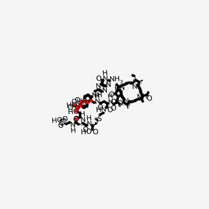 CC[C@H]1c2cc3[nH]c4c(c3C)C(=O)C(C(=O)OC)c4c3nc(cc4[nH]c(cc(n2)[C@@H]1C)c(C(C)=O)c4C)[C@@H](C)[C@@H]3CCC(=O)NC(CC(=O)NCCc1ccc(B(O)O)cc1)C(=O)NCCSSC[C@H](NC(=O)[C@H](CC(=O)NCCS(=O)(=O)O)NC(=O)CC[C@H](NC(=O)c1ccc(NCc2cnc3nc(N)[nH]c(=O)c3n2)cc1)C(=O)O)C(=O)O